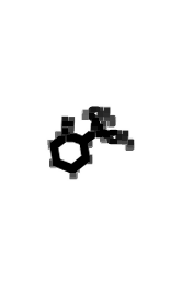 CN(C)C1C[CH]CCN1